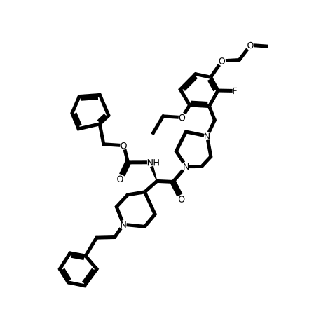 CCOc1ccc(OCOC)c(F)c1CN1CCN(C(=O)[C@H](NC(=O)OCc2ccccc2)C2CCN(CCc3ccccc3)CC2)CC1